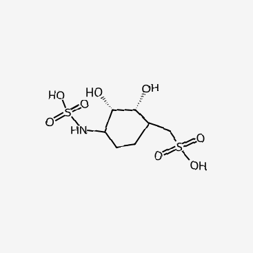 O=S(=O)(O)CC1CCC(NS(=O)(=O)O)[C@H](O)[C@@H]1O